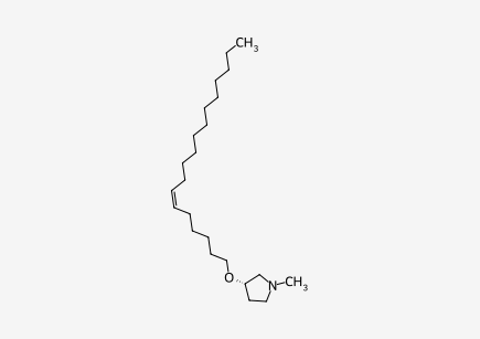 CCCCCCCCCCC/C=C\CCCCCO[C@H]1CCN(C)C1